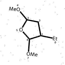 CCC1CC(OC)OC1OC